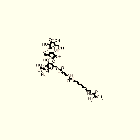 C=C(C)C(=O)NCCSCCCCCOC(=O)NCCNC(=O)OCC1O[C@@H]2O[C@@](C)(C(=O)O)OC2[C@@H](O)[C@@H]1O[C@@H]1OC(CO)[C@H](O[C@H]2OC(CO)[C@H](O)[C@H](O)C2O)[C@H](O)C1O